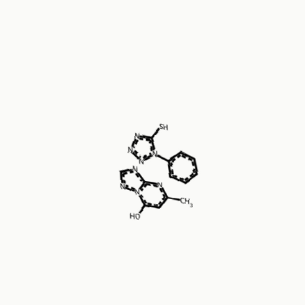 Cc1cc(O)n2ncnc2n1.Sc1nnnn1-c1ccccc1